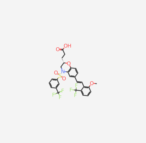 COc1cccc(C(F)(F)F)c1/C=C/c1ccc2c(c1)N(S(=O)(=O)c1cccc(C(F)(F)F)c1)C[C@H](CCC(=O)O)O2